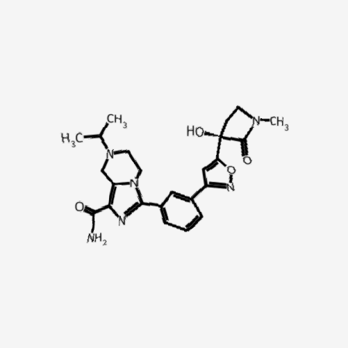 CC(C)N1CCn2c(-c3cccc(-c4cc([C@]5(O)CCN(C)C5=O)on4)c3)nc(C(N)=O)c2C1